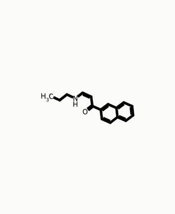 CCCN/C=C\C(=O)c1ccc2ccccc2c1